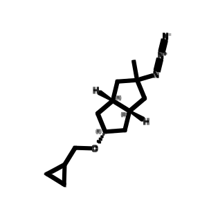 CC1(N=[N+]=[N-])C[C@H]2C[C@@H](OCC3CC3)C[C@H]2C1